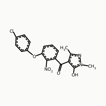 Cc1nn(C)c(O)c1C(=O)c1cccc(Oc2ccc(Cl)cc2)c1[N+](=O)[O-]